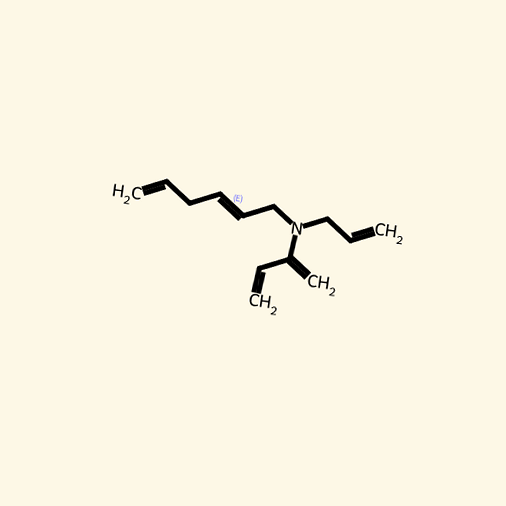 C=CC/C=C/CN(CC=C)C(=C)C=C